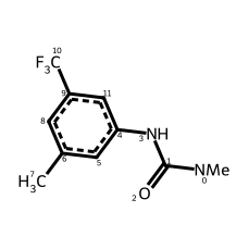 CNC(=O)Nc1cc(C)cc(C(F)(F)F)c1